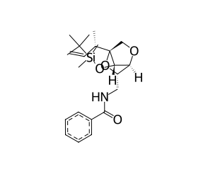 C=C[C@H](C)[C@@]12CO[C@@H]([C@H](CNC(=O)c3ccccc3)O1)[C@@H]2O[Si](C)(C)C(C)(C)C